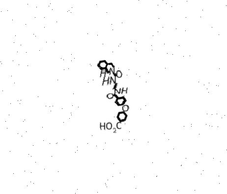 O=C(NCCNC(=O)N1CCC2CCCC[C@@H]2C1)c1ccc(O[C@H]2CC[C@@H](C(=O)O)CC2)cc1